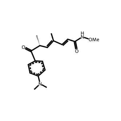 CONC(=O)/C=C/C(C)=C/[C@@H](C)C(=O)c1ccc(N(C)C)cc1